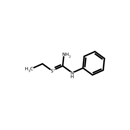 CC/[S+]=C(\N)Nc1ccccc1